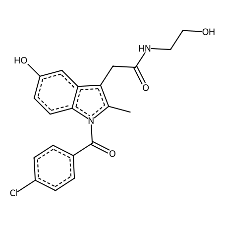 Cc1c(CC(=O)NCCO)c2cc(O)ccc2n1C(=O)c1ccc(Cl)cc1